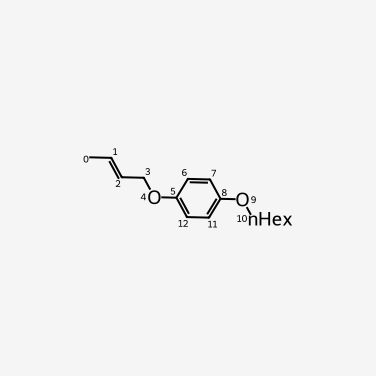 C/C=C/COc1ccc(OCCCCCC)cc1